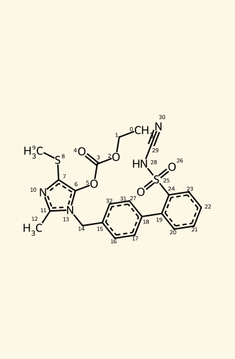 CCOC(=O)Oc1c(SC)nc(C)n1Cc1ccc(-c2ccccc2S(=O)(=O)NC#N)cc1